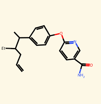 C=CCC(CC)C(C)c1ccc(Oc2ccc(C(N)=O)cn2)cc1